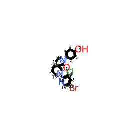 O=C1N(C2CCC(O)CC2)CC[C@]12CCCN(c1ncc(Br)cc1Cl)C2